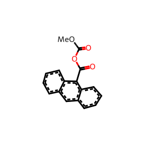 COC(=O)OC(=O)c1c2ccccc2cc2ccccc12